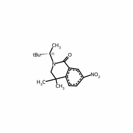 C[C@H](N1CC(C)(C)c2ccc([N+](=O)[O-])cc2C1=O)C(C)(C)C